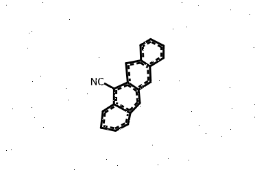 N#Cc1c2ccccc2cc2cc3ccccc3cc12